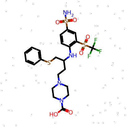 NS(=O)(=O)c1ccc(NC(CCN2CCN(C(=O)O)CC2)CSc2ccccc2)c(S(=O)(=O)C(F)(F)F)c1